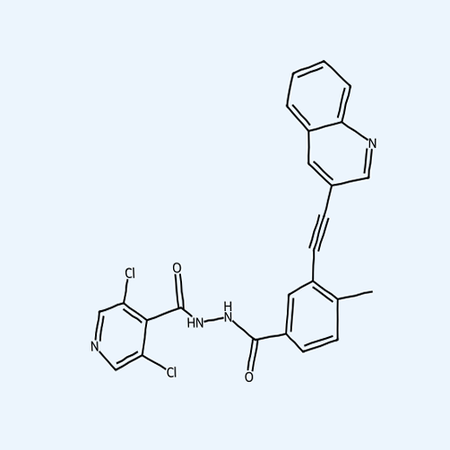 Cc1ccc(C(=O)NNC(=O)c2c(Cl)cncc2Cl)cc1C#Cc1cnc2ccccc2c1